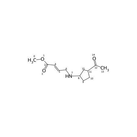 COC(=O)/C=C/CNC1CCC(C(C)=O)C1